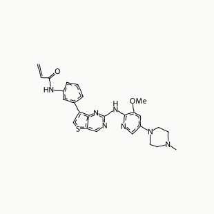 C=CC(=O)Nc1cccc(-c2csc3cnc(Nc4ncc(N5CCN(C)CC5)cc4OC)nc23)c1